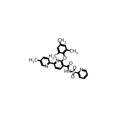 Cc1ccc(-c2ccc(C(=O)NS(=O)(=O)c3ccccn3)c(Oc3c(C)cc(C)cc3C)n2)nc1